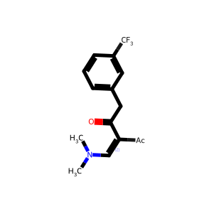 CC(=O)/C(=C/N(C)C)C(=O)Cc1cccc(C(F)(F)F)c1